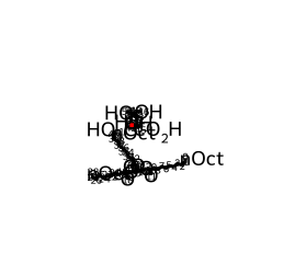 CCCCCCCC/C=C\CCCCCCCC(=O)OCC(COC(=O)CCCCCCC/C=C\CCCCCCCC)OC(=O)CCCCCCC/C=C\CCCCCCCC.O=C(O)/C=C\C(=O)O.OCC(CO)(CO)CO